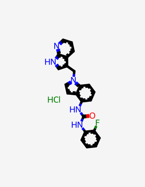 Cl.O=C(Nc1ccccc1F)Nc1cccc2c1ccn2Cc1c[nH]c2ncccc12